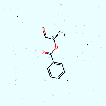 C[C@H](C=O)OC(=O)c1ccccc1